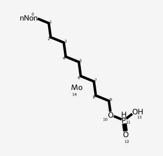 CCCCCCCCCCCCCCCCCCO[PH](=O)O.[Mo]